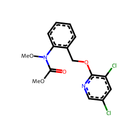 COC(=O)N(OC)c1ccccc1COc1ncc(Cl)cc1Cl